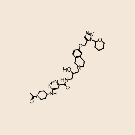 CC(=O)N1CCC(Nc2cc(C(=O)NCC(O)CN3CCc4cc(OCc5cnnn5C5CCCCO5)ccc4C3)ncn2)CC1